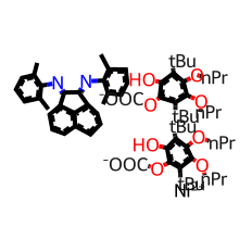 CCCOc1c(OCCC)c(C(C)(C)C)c(OC(=O)[O-])c(O)c1C(C)(C)C.CCCOc1c(OCCC)c(C(C)(C)C)c(OC(=O)[O-])c(O)c1C(C)(C)C.Cc1cccc(C)c1N=C1C(=Nc2c(C)cccc2C)c2cccc3cccc1c23.[Ni+2]